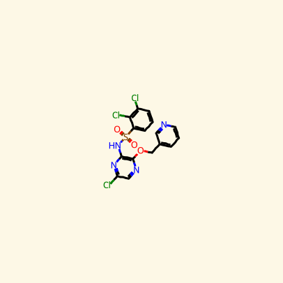 O=S(=O)(Nc1nc(Cl)cnc1OCc1cccnc1)c1cccc(Cl)c1Cl